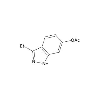 CCc1n[nH]c2cc(OC(C)=O)ccc12